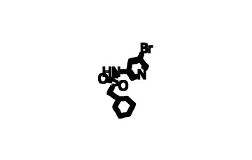 O=S(=O)(CC1CCCCC1)Nc1cncc(Br)c1